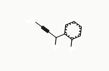 CCCCCC#CC(S)c1ccccc1O